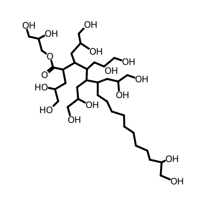 O=C(OCC(O)CO)C(CC(O)CO)C(CC(O)CO)C(CC(O)CO)C(CC(O)CO)C(CCCCCCCCCC(O)CO)CC(O)CO